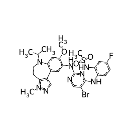 COc1cc2c(cc1Nc1ncc(Br)c(Nc3ccc(F)cc3NS(C)(=O)=O)n1)-c1cnn(C)c1CCN2C(C)C